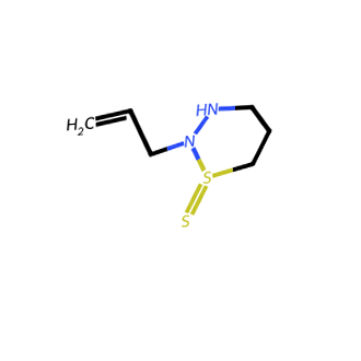 C=CCN1NCCCS1=S